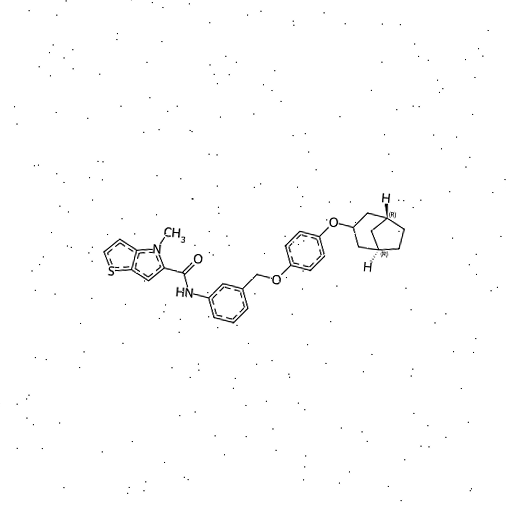 Cn1c(C(=O)Nc2cccc(COc3ccc(OC4C[C@@H]5CC[C@@H](C4)C5)cc3)c2)cc2sccc21